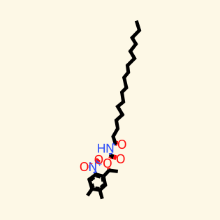 CCCCCCCCCCCCCCCCCC(=O)NC(=O)OC(C)c1cc(C)c(C)cc1[N+](=O)[O-]